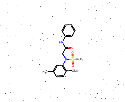 COc1ccc(C)cc1N(CC(=O)Nc1ccccc1)S(C)(=O)=O